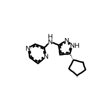 [CH]1CC[C@@H](c2cc(Nc3cnccn3)n[nH]2)C1